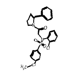 COc1ccc(S(=O)(=O)N(CC(=O)N2CCCC2c2ccccc2)c2ccccc2Cl)cc1